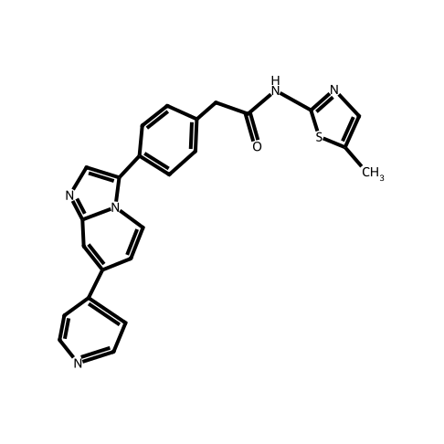 Cc1cnc(NC(=O)Cc2ccc(-c3cnc4cc(-c5ccncc5)ccn34)cc2)s1